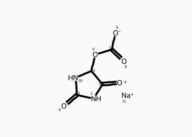 O=C1NC(=O)C(OC(=O)[O-])N1.[Na+]